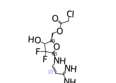 N=C(N)/C=C\N[C@@H]1O[C@H](COC(=O)CCl)C(O)C1(F)F